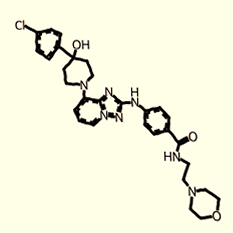 O=C(NCCN1CCOCC1)c1ccc(Nc2nc3c(N4CCC(O)(c5ccc(Cl)cc5)CC4)cccn3n2)cc1